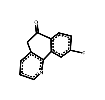 O=C1Cc2cccnc2-c2cc(F)ccc21